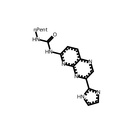 CCCCCNC(=O)Nc1ccc2ncc(-c3ncc[nH]3)nc2n1